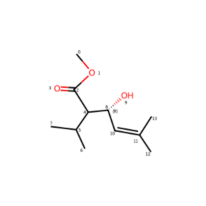 COC(=O)C(C(C)C)[C@H](O)C=C(C)C